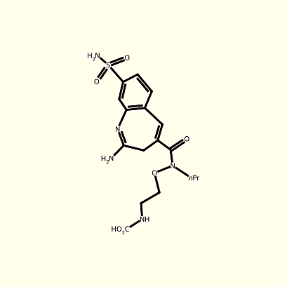 CCCN(OCCNC(=O)O)C(=O)C1=Cc2ccc(S(N)(=O)=O)cc2N=C(N)C1